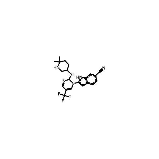 CC1(C)CCC(NC2N=CC(C(F)(F)F)=CN2c2cc3ccc(C#N)cc3[nH]2)CN1